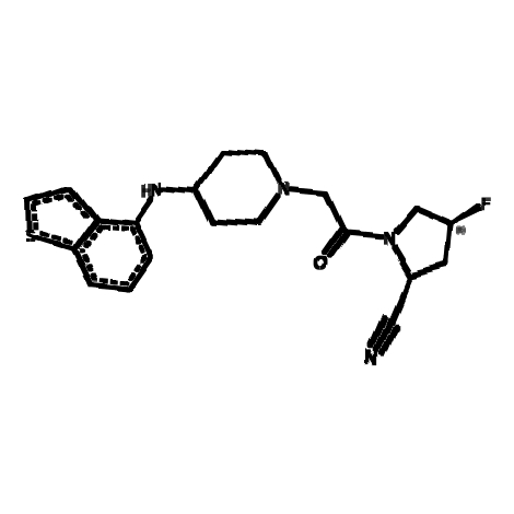 N#CC1C[C@H](F)CN1C(=O)CN1CCC(Nc2cccc3sccc23)CC1